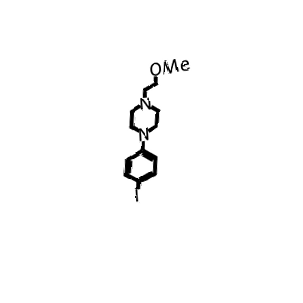 COCCN1CCN(c2ccc(I)cc2)CC1